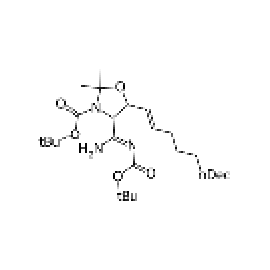 CCCCCCCCCCCCCC=CC1OC(C)(C)N(C(=O)OC(C)(C)C)C1C(N)=NC(=O)OC(C)(C)C